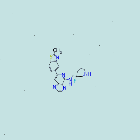 Cc1nc2cc(-c3cc4nccnc4c(NCC4(F)CCCNC4)n3)ccc2s1